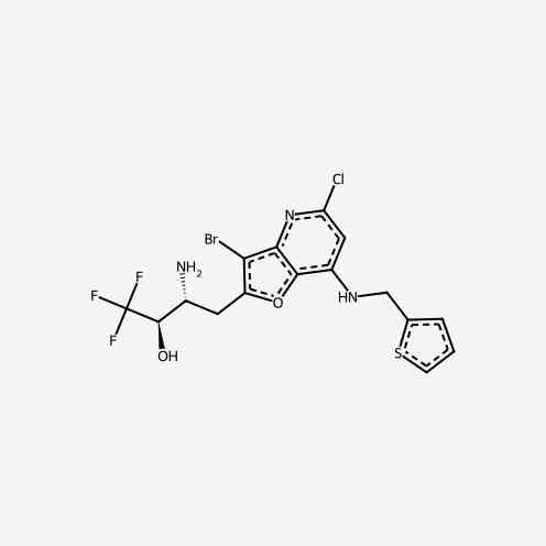 N[C@H](Cc1oc2c(NCc3cccs3)cc(Cl)nc2c1Br)[C@@H](O)C(F)(F)F